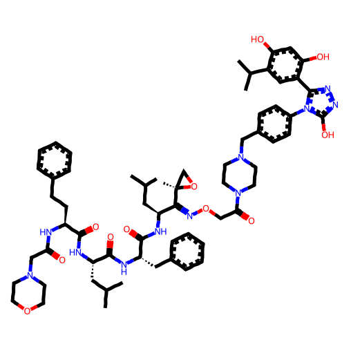 CC(C)C[C@H](NC(=O)[C@H](CCc1ccccc1)NC(=O)CN1CCOCC1)C(=O)N[C@@H](Cc1ccccc1)C(=O)N[C@@H](CC(C)C)C(=NOCC(=O)N1CCN(Cc2ccc(-n3c(O)nnc3-c3cc(C(C)C)c(O)cc3O)cc2)CC1)[C@@]1(C)CO1